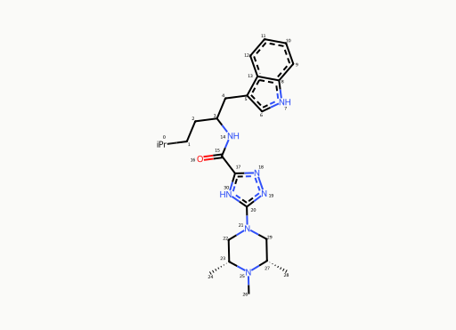 CC(C)CCC(Cc1c[nH]c2ccccc12)NC(=O)c1nnc(N2C[C@@H](C)N(C)[C@@H](C)C2)[nH]1